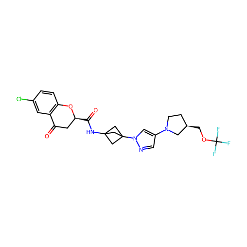 O=C1C[C@H](C(=O)NC23CC(n4cc(N5CC[C@@H](COC(F)(F)F)C5)cn4)(C2)C3)Oc2ccc(Cl)cc21